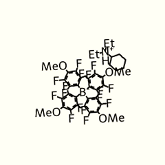 CC[NH+](CC)C1CCCCC1.COc1c(F)c(F)c([B-](c2c(F)c(F)c(OC)c(F)c2F)(c2c(F)c(F)c(OC)c(F)c2F)c2c(F)c(F)c(OC)c(F)c2F)c(F)c1F